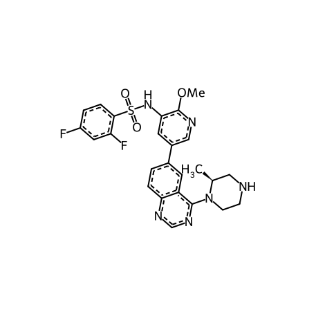 COc1ncc(-c2ccc3ncnc(N4CCNC[C@@H]4C)c3c2)cc1NS(=O)(=O)c1ccc(F)cc1F